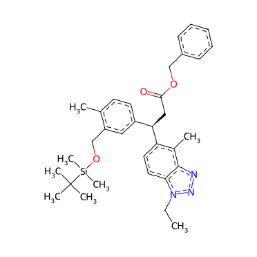 CCn1nnc2c(C)c([C@H](CC(=O)OCc3ccccc3)c3ccc(C)c(CO[Si](C)(C)C(C)(C)C)c3)ccc21